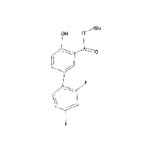 CC(C)(C)OC(=O)c1cc(-c2ccc(F)cc2F)ccc1O